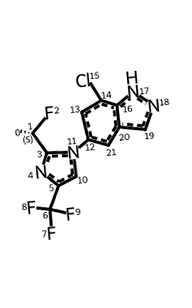 C[C@H](F)c1nc(C(F)(F)F)cn1-c1cc(Cl)c2[nH]ncc2c1